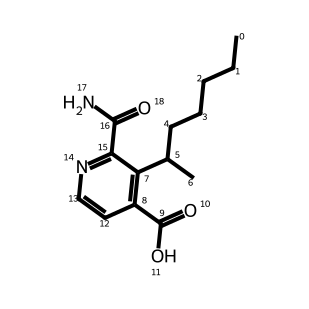 CCCCCC(C)c1c(C(=O)O)ccnc1C(N)=O